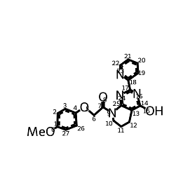 COc1ccc(OCC(=O)N2CCCc3c(O)nc(-c4ccccn4)nc32)cc1